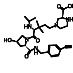 C#Cc1ccc(CNC(=O)[C@@H]2C[C@@H](O)CN2C(=O)[C@H](NC(C)C)C(C)(C)CCN2CCN[C@H](C(=O)O)C2)cc1